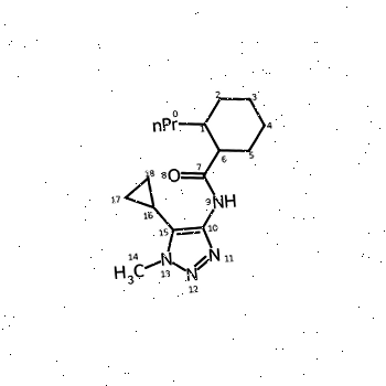 CCCC1CCCCC1C(=O)Nc1nnn(C)c1C1CC1